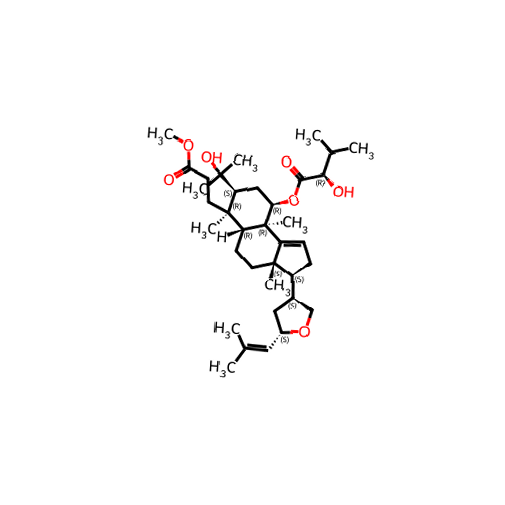 COC(=O)CC[C@@]1(C)[C@@H](C(C)(C)O)C[C@@H](OC(=O)[C@H](O)C(C)C)[C@@]2(C)C3=CC[C@@H]([C@H]4CO[C@H](C=C(C)C)C4)[C@]3(C)CC[C@H]12